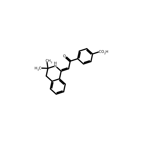 CC1(C)Cc2ccccc2/C(=C/C(=O)c2ccc(C(=O)O)cc2)N1